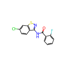 O=C(Nc1nsc2cc(Cl)ccc12)c1ccccc1F